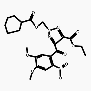 CCOC(=O)c1nn(COC(=O)C2CCCCC2)nc1C(=O)c1cc(OC)c(OC)cc1[N+](=O)[O-]